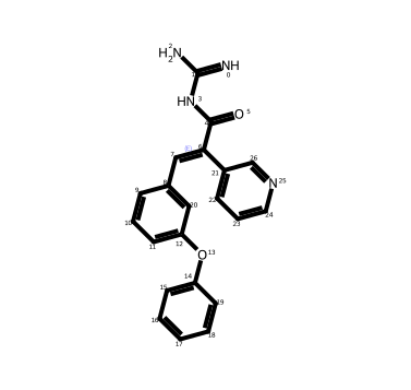 N=C(N)NC(=O)/C(=C/c1cccc(Oc2ccccc2)c1)c1cccnc1